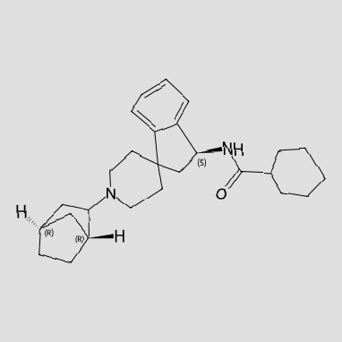 O=C(N[C@H]1CC2(CCN(C3C[C@@H]4CC[C@@H]3C4)CC2)c2ccccc21)C1CCCCC1